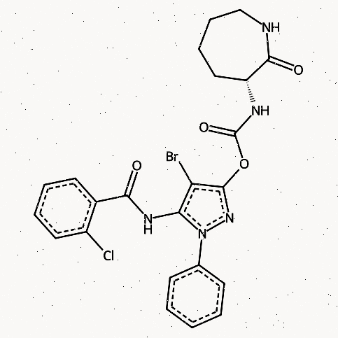 O=C(N[C@@H]1CCCCNC1=O)Oc1nn(-c2ccccc2)c(NC(=O)c2ccccc2Cl)c1Br